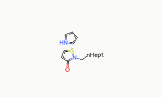 CCCCCCCCn1sccc1=O.c1cc[nH]c1